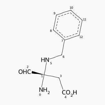 N[C@@](C=O)(CC(=O)O)NCc1ccccc1